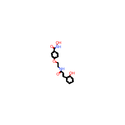 O=C(C=Cc1ccccc1O)NCCOc1ccc(C(=O)NO)cc1